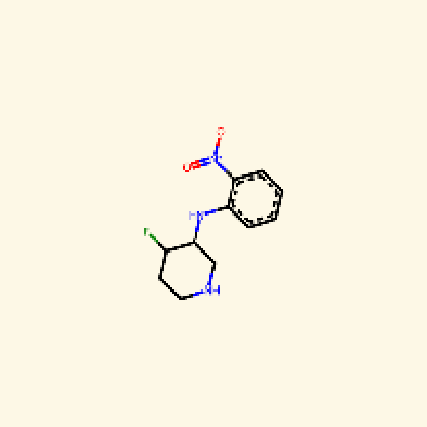 O=[N+]([O-])c1ccccc1NC1CNCCC1F